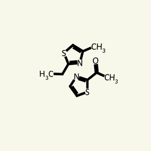 CC(=O)c1nccs1.CCc1nc(C)cs1